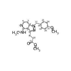 CNc1nccc2c1c(CCC(=O)OC)nn2Cc1ccc(OC)cc1